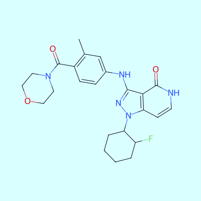 Cc1cc(Nc2nn(C3CCCCC3F)c3cc[nH]c(=O)c23)ccc1C(=O)N1CCOCC1